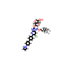 C[Si](C)(C)CCOCn1c(O[C@@H]2CO[C@H]3[C@@H]2OC[C@H]3O)nc2nc(-c3ccc(-c4ccc(-n5cccn5)cc4)cc3)c(Cl)cc21